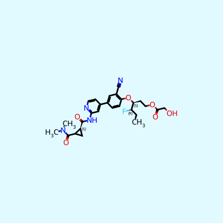 CC[C@@H](F)[C@H](CCOC(=O)CO)Oc1ccc(-c2ccnc(NC(=O)[C@H]3CC3C(=O)N(C)C)c2)cc1C#N